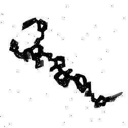 Cc1c(COc2cc(OCc3cncc(C#N)c3)c(CN[C@@](C)(CO)C(=O)O)cc2Cl)cccc1-c1cccc(-c2ccc(CNCCc3c[nH]cn3)cc2)c1C